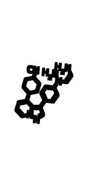 N#CC1CCC(c2cccn3ncc(-c4ccc(N(N)/C=C\N)cc4)c23)CC1